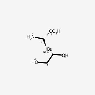 CC[C@H](C)[C@H](N)C(=O)O.OCCO